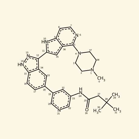 CN1CCN(c2nccc3[nH]c(-c4n[nH]c5ccc(-c6cncc(NC(=O)CC(C)(C)C)c6)cc45)cc23)CC1